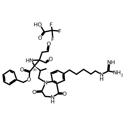 CC(CN1C(=O)CNC(=O)c2cc(CCCCCNC(=N)N)ccc21)[C@@]1(C(=O)OCc2ccccc2)NC1(C=O)CC=O.O=C(O)C(F)(F)F